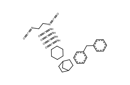 C1CC2CCC1C2.C1CCCCC1.N=C=O.N=C=O.N=C=O.N=C=O.O=C=NCCN=C=O.c1ccc(Cc2ccccc2)cc1